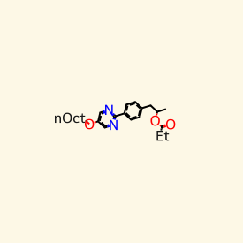 CCCCCCCCOc1cnc(-c2ccc(CC(C)OC(=O)CC)cc2)nc1